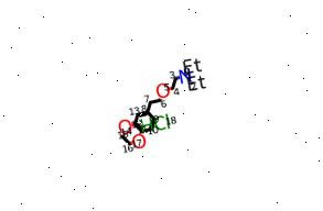 CCN(CC)CCOCCc1ccc2c(c1)OCCO2.Cl